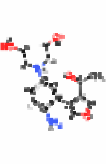 CC(=O)c1cocc1-c1cc(N(CCO)CCO)ccc1N